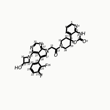 O=C1Nc2ncccc2C2(CCN(C(=O)Cn3cc(-c4cccc(F)c4F)c4c(N5CC(O)C5)ncnc43)CC2)O1